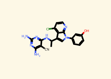 CC(Nc1nc(N)nc(N)c1C#N)c1cn(-c2cccc(O)c2)c2nccc(Cl)c12